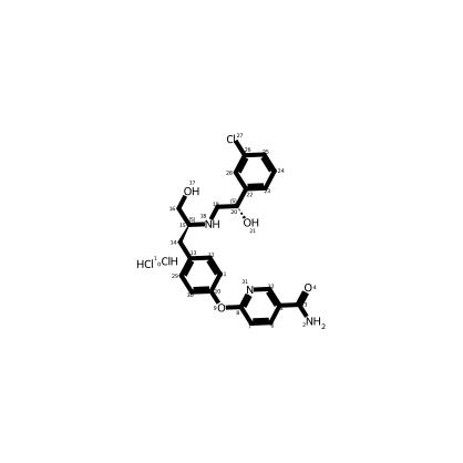 Cl.Cl.NC(=O)c1ccc(Oc2ccc(C[C@@H](CO)NC[C@@H](O)c3cccc(Cl)c3)cc2)nc1